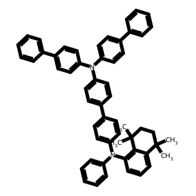 CC1(C)CCC(C)(C)c2c(N(c3ccccc3)c3ccc(-c4ccc(N(c5ccc(-c6ccccc6)cc5)c5ccc(-c6ccccc6)cc5)cc4)cc3)cccc21